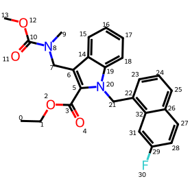 CCOC(=O)c1c(CN(C)C(=O)OC)c2ccccc2n1Cc1cccc2ccc(F)cc12